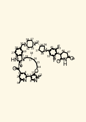 Cc1cc2cc(n1)-c1cnn(C)c1OCCC[C@@H](C)CN1/C(=N/C2=O)Nc2ccc(CN3CCN(C[C@H]4CCN(c5cc(F)c([C@H]6CCC(=O)NC6=O)c(F)c5)C4)CC3)cc21